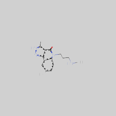 CNCCCn1c(=O)c2c(C)[nH]nc2c2cc(C)ccc21